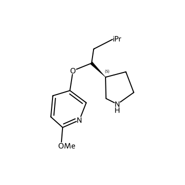 COc1ccc(OC(CC(C)C)[C@H]2CCNC2)cn1